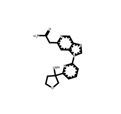 COC1(c2cccc(-n3cnc4cnc(CC(N)=O)cc43)n2)CCOC1